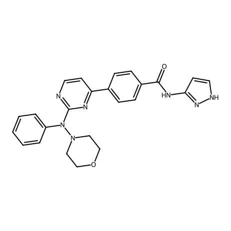 O=C(Nc1cc[nH]n1)c1ccc(-c2ccnc(N(c3ccccc3)N3CCOCC3)n2)cc1